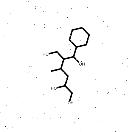 CC(CC(O)CO)C(CO)C(O)C1CCCCC1